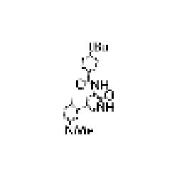 CNc1ccc(C)c(-c2c[nH]c(=O)c(NC(=O)c3ccc(C(C)(C)C)cc3)c2)c1